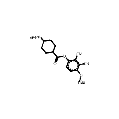 CCCCCC1CCC(C(=O)Oc2ccc(OCCCC)c(C#N)c2C#N)CC1